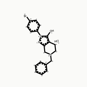 Cl.Oc1c2c(nn1-c1ccc(Br)cc1)CN(Cc1ccccc1)CC2